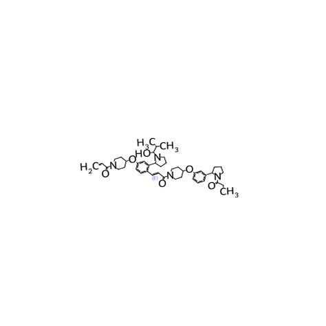 C=CC(=O)N1CCC(Oc2ccc(/C=C/C(=O)N3CCC(Oc4cccc(C5CCCN5C(=O)CC)c4)CC3)c(C3CCCN3C(O)C(C)C)c2)CC1